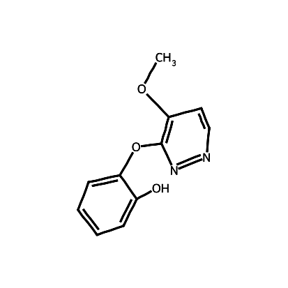 COc1ccnnc1Oc1ccccc1O